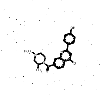 CC1CN(C(=O)O)CCN1C(=O)c1ccc2c(Cl)cc(-c3ccc(O)cc3)nc2c1